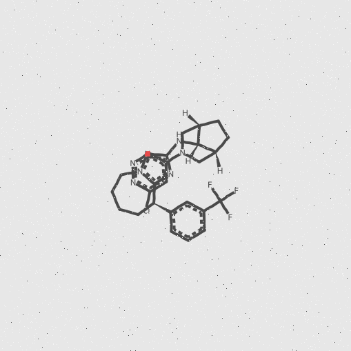 FC(F)(F)c1cccc([C@H]2CCCCn3nc(N[C@H]4[C@@H]5CC[C@H]4CN(c4cnnc(Cl)c4)C5)nc32)c1